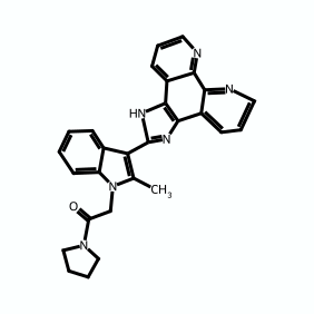 Cc1c(-c2nc3c4cccnc4c4ncccc4c3[nH]2)c2ccccc2n1CC(=O)N1CCCC1